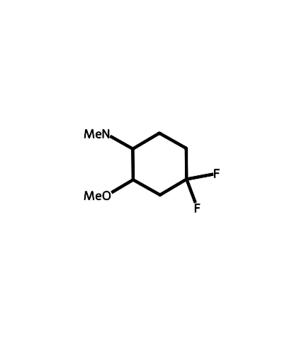 CNC1CCC(F)(F)CC1OC